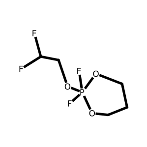 FC(F)COP1(F)(F)OCCCO1